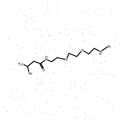 CC(S)CC(=O)NCCOCCOCCNC(C)C